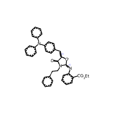 CCOC(=O)c1ccccc1/N=C1/O/C(=C/c2ccc(N(c3ccccc3)c3ccccc3)cc2)C(=O)N1CCc1ccccc1